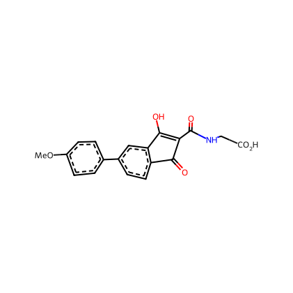 COc1ccc(-c2ccc3c(c2)C(O)=C(C(=O)NCC(=O)O)C3=O)cc1